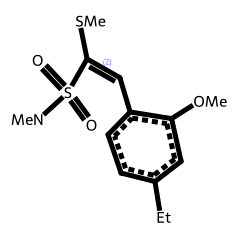 CCc1ccc(/C=C(/SC)S(=O)(=O)NC)c(OC)c1